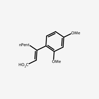 CCCCCC(=CC(=O)O)c1ccc(OC)cc1OC